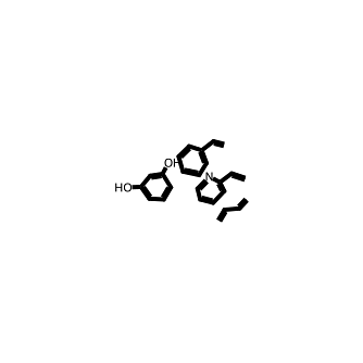 C=CC=C.C=Cc1ccccc1.C=Cc1ccccn1.Oc1cccc(O)c1